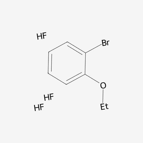 CCOc1ccccc1Br.F.F.F